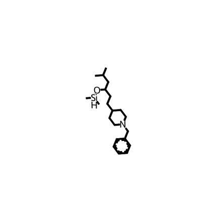 CC(C)CC(CCC1CCN(Cc2ccccc2)CC1)O[SiH](C)C